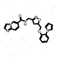 O=C(NCC1=NOC(COc2ccccc2-n2cccc2)C1)c1ccc2nccn2c1